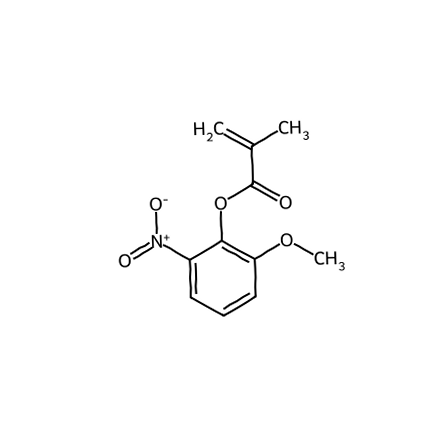 C=C(C)C(=O)Oc1c(OC)cccc1[N+](=O)[O-]